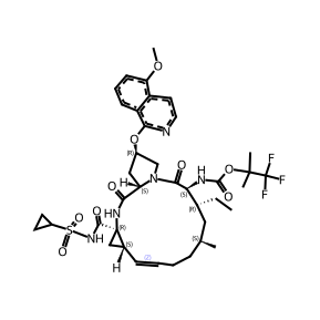 CC[C@@H]1C[C@@H](C)CC/C=C\[C@@H]2C[C@@]2(C(=O)NS(=O)(=O)C2CC2)NC(=O)[C@@H]2C[C@@H](Oc3nccc4c(OC)cccc34)CN2C(=O)[C@H]1NC(=O)OC(C)(C)C(F)(F)F